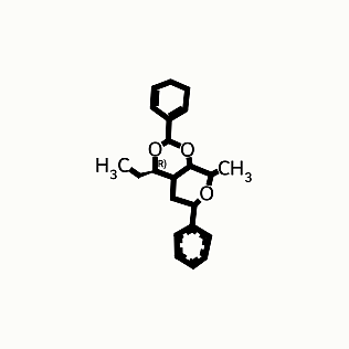 CC[C@H]1OC(C2=CCCC=C2)OC2C(C)OC(c3ccccc3)CC21